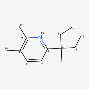 CCC(C)(CC)c1ccc(C)c(C)n1